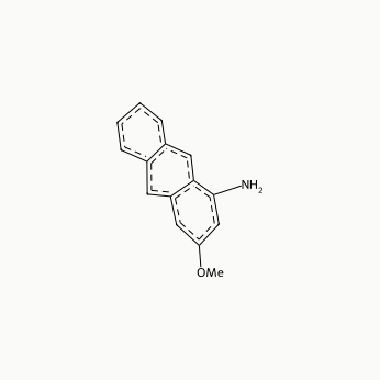 COc1cc(N)c2cc3ccccc3cc2c1